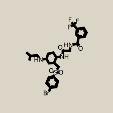 CC(C)CNC1CCC(NC(=O)CNC(=O)c2cccc(C(F)(F)F)c2)C(CS(=O)(=O)c2ccc(Br)cc2)C1